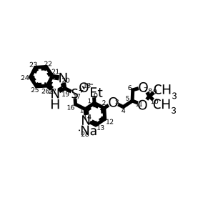 CCc1c(OCC2COC(C)(C)O2)ccnc1C[S+]([O-])c1nc2ccccc2[nH]1.[Na]